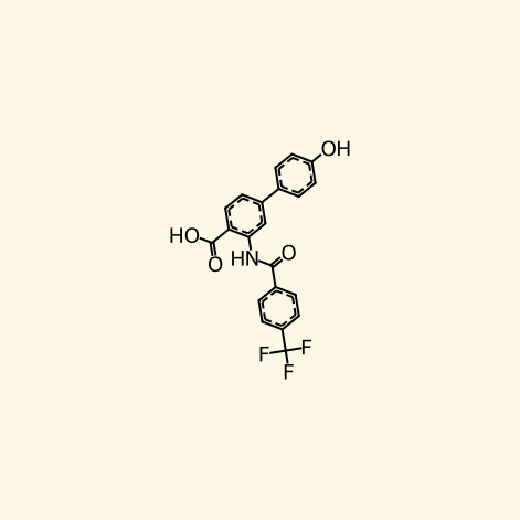 O=C(Nc1cc(-c2ccc(O)cc2)ccc1C(=O)O)c1ccc(C(F)(F)F)cc1